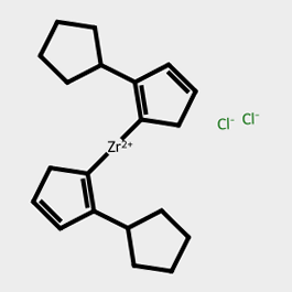 C1=CC(C2CCCC2)=[C]([Zr+2][C]2=C(C3CCCC3)C=CC2)C1.[Cl-].[Cl-]